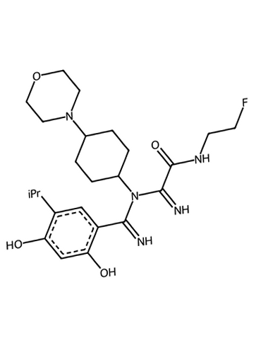 CC(C)c1cc(C(=N)N(C(=N)C(=O)NCCF)C2CCC(N3CCOCC3)CC2)c(O)cc1O